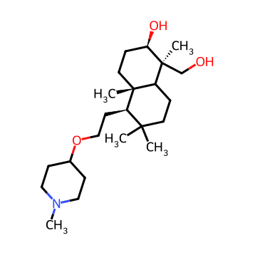 CN1CCC(OCC[C@@H]2C(C)(C)CCC3[C@](C)(CO)[C@H](O)CC[C@]32C)CC1